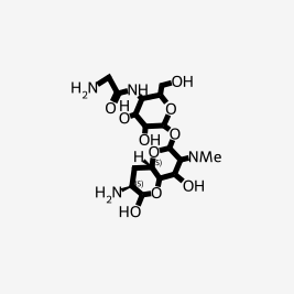 CNC1C(OC2OC(CO)C(NC(=O)CN)C(O)C2O)O[C@H]2C[C@H](N)C(O)OC2C1O